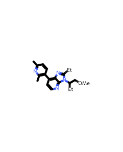 CCc1nc2c(-c3ccc(C)nc3C)ccnc2n1C(CC)COC